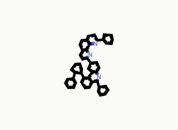 c1ccc(-c2ccc3ccc4ccc(-c5ccc6nc(-c7ccccc7)c7cccc(-c8ccccc8-c8ccccc8)c7c6c5)nc4c3n2)cc1